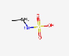 C[SiH2]NS(=O)(=O)O